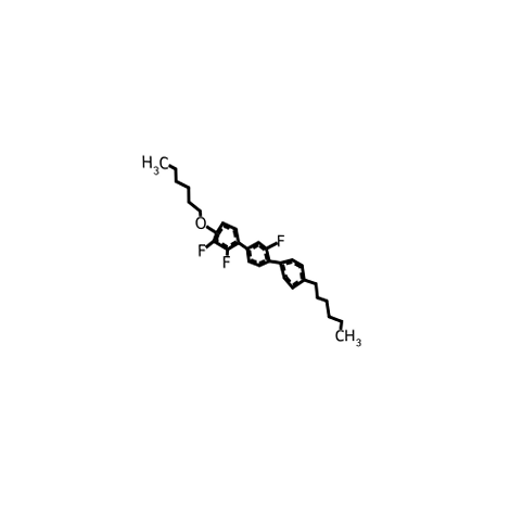 CCCCCCOc1ccc(-c2ccc(-c3ccc(CCCCCC)cc3)c(F)c2)c(F)c1F